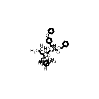 CC(C)CC(NC(=O)[C@H](CNC(=O)OCc1ccccc1)NC(=O)c1ccc(Oc2ccccc2)cc1)B1O[C@@H]2C[C@@H]3C[C@@H](C3(C)C)[C@]2(C)O1